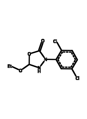 CCOC1NN(c2cc(Cl)ccc2Cl)C(=O)O1